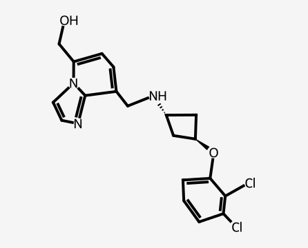 OCc1ccc(CN[C@H]2C[C@H](Oc3cccc(Cl)c3Cl)C2)c2nccn12